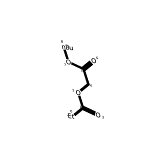 C[CH]C(=O)OCC(=O)OCCCC